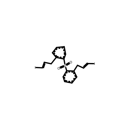 O=S(=O)(c1ccccc1CC=CI)c1ccccc1CC=CI